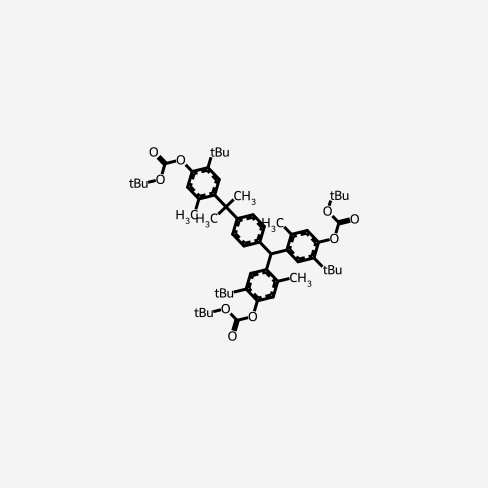 Cc1cc(OC(=O)OC(C)(C)C)c(C(C)(C)C)cc1C(c1ccc(C(C)(C)c2cc(C(C)(C)C)c(OC(=O)OC(C)(C)C)cc2C)cc1)c1cc(C(C)(C)C)c(OC(=O)OC(C)(C)C)cc1C